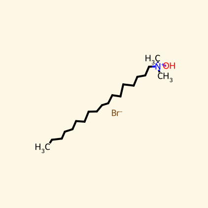 CCCCCCCCCCCCCCCCCC[N+](C)(C)O.[Br-]